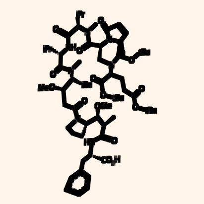 CC[C@H](C)[C@H]([C@@H](CC(=O)N1CCC[C@H]1[C@@H](OC)[C@@H](C)C(=O)N[C@@H](Cc1ccccc1)C(=O)O)OC)N(C)C(=O)[C@@H](NC(=O)[C@@H](C(C)C)N(C)C(=O)[C@H](CN(C(=O)OC(C)(C)C)C(CCC(=O)OC(C)(C)C)C(=O)OC(C)(C)C)N1C(=O)C=CC1=O)C(C)C